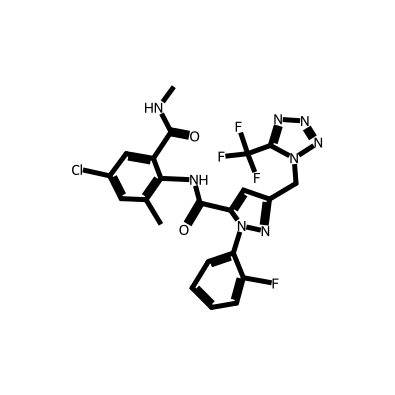 CNC(=O)c1cc(Cl)cc(C)c1NC(=O)c1cc(Cn2nnnc2C(F)(F)F)nn1-c1ccccc1F